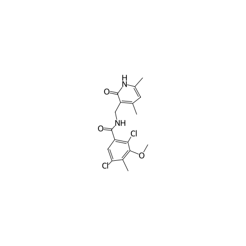 COc1c(C)c(Cl)cc(C(=O)NCc2c(C)cc(C)[nH]c2=O)c1Cl